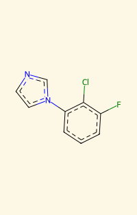 Fc1cccc(-n2ccnc2)c1Cl